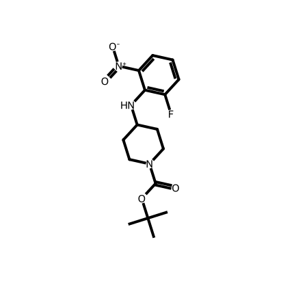 CC(C)(C)OC(=O)N1CCC(Nc2c(F)cccc2[N+](=O)[O-])CC1